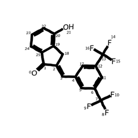 O=C1/C(=C/c2cc(C(F)(F)F)cc(C(F)(F)F)c2)Cc2c(O)cccc21